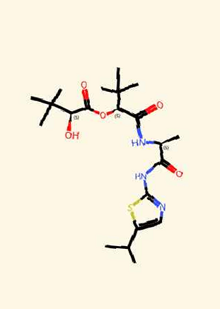 CC(C)c1cnc(NC(=O)[C@H](C)NC(=O)[C@@H](OC(=O)[C@@H](O)C(C)(C)C)C(C)(C)C)s1